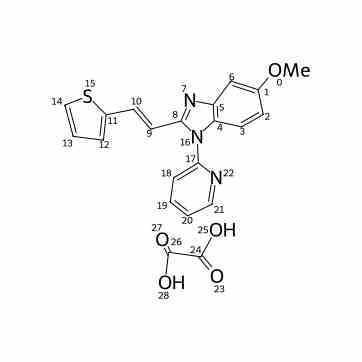 COc1ccc2c(c1)nc(C=Cc1cccs1)n2-c1ccccn1.O=C(O)C(=O)O